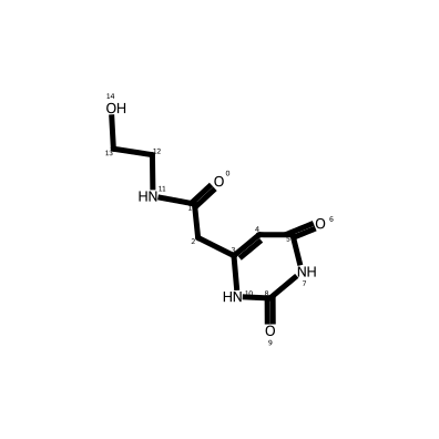 O=C(Cc1cc(=O)[nH]c(=O)[nH]1)NCCO